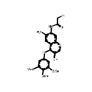 COc1cc(Nc2c(C#N)cnc3cc(NC(=O)CCl)c(N)cc23)cc(OC)c1OC